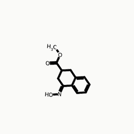 COC(=O)C1CC(=NO)c2ccccc2C1